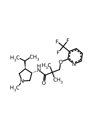 CC(C)[C@@H]1CN(C)C[C@H]1NC(=O)C(C)(C)COc1ncccc1C(F)(F)F